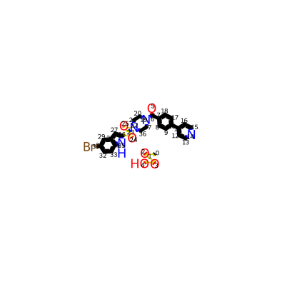 CS(=O)(=O)O.O=C(c1ccc(-c2ccncc2)cc1)N1CCN(S(=O)(=O)c2cc3cc(Br)ccc3[nH]2)CC1